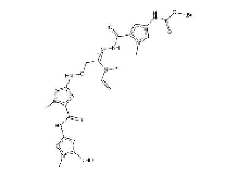 C=CN(C)/C(CONc1cc(C(=O)Nc2cc(C=O)n(C)c2)n(C)c1)=N\NC(=O)c1cc(NC(=O)OC(C)(C)C)cn1C